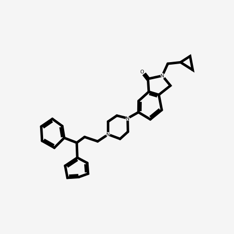 O=C1c2cc(N3CCN(CCC(c4ccccc4)c4ccccc4)CC3)ccc2CN1CC1CC1